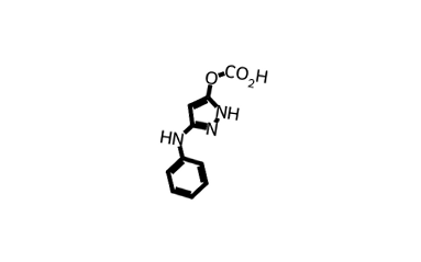 O=C(O)Oc1cc(Nc2ccccc2)n[nH]1